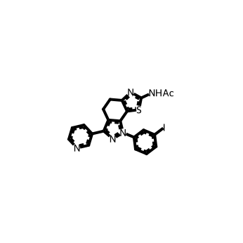 CC(=O)Nc1nc2c(s1)-c1c(c(-c3cccnc3)nn1-c1cccc(I)c1)CC2